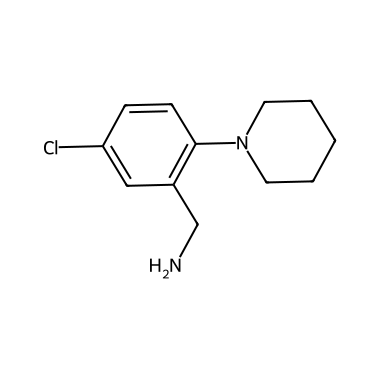 NCc1cc(Cl)ccc1N1CCCCC1